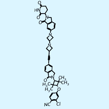 CC1(C)[C@H](Oc2ccc(C#N)c(Cl)c2)C(C)(C)[C@H]1N1Cc2cc(C#CC3CN(C4CN(c5ccc6c(c5)C(=O)N(C5CCC(=O)NC5=O)C6)C4)C3)ccc2C1=O